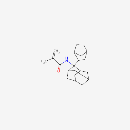 C=C(C)C(=O)NC1(C2CC3CCC2C3)C2CC3CC(C2)CC1C3